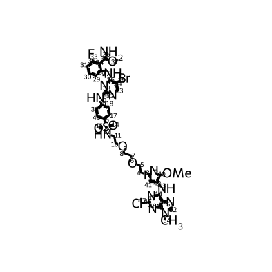 COc1nn(CCOCCOCCNS(=O)(=O)c2ccc(Nc3ncc(Br)c(Nc4cccc(F)c4C(N)=O)n3)cc2)cc1Nc1nc(Cl)nc2c1ncn2C